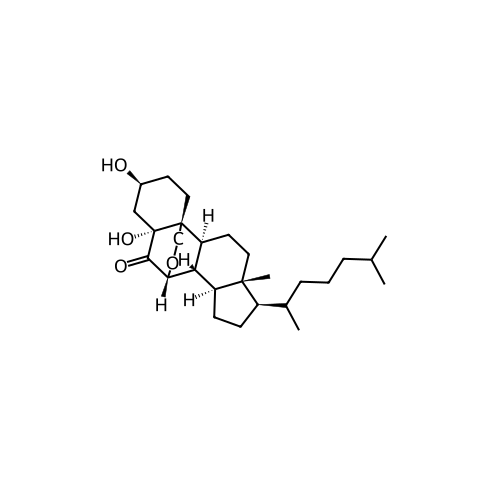 CC(C)CCCC(C)[C@H]1CC[C@H]2[C@@H]3[C@H]4OC[C@@]5(CC[C@H](O)C[C@]5(O)C4=O)[C@H]3CC[C@]12C